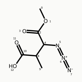 COC(=O)C(N=[N+]=[N-])C(C)C(=O)O